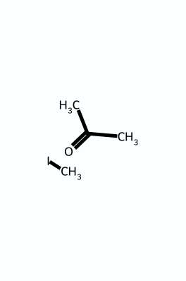 CC(C)=O.CI